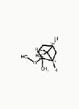 CC1(OO)CC[C@H]2C[C@H]1C2(C)C